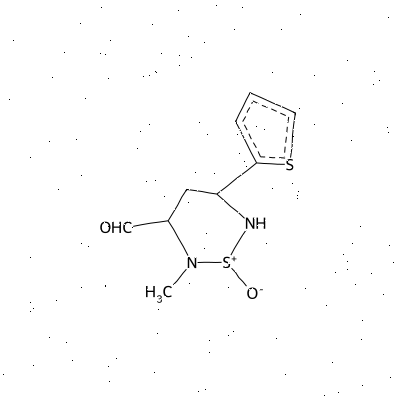 CN1C(C=O)CC(c2cccs2)N[S+]1[O-]